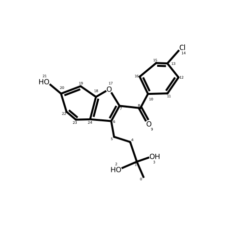 CC(O)(O)CCc1c(C(=O)c2ccc(Cl)cc2)oc2cc(O)ccc12